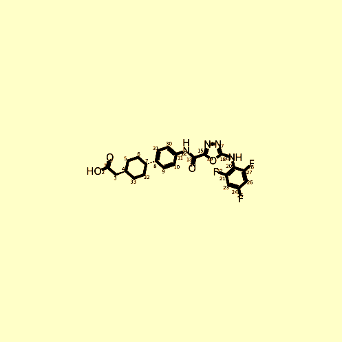 O=C(O)C[C@H]1CC[C@H](c2ccc(NC(=O)c3nnc(Nc4c(F)cc(F)cc4F)o3)cc2)CC1